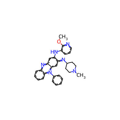 COc1ncccc1Nc1cc2nc3ccccc3n(-c3ccccc3)c-2cc1=NC1CCN(C)CC1